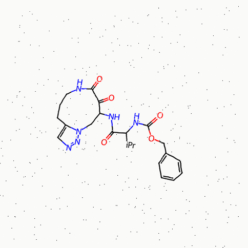 CC(C)C(NC(=O)OCc1ccccc1)C(=O)NC1Cn2nncc2CCCNC(=O)C1=O